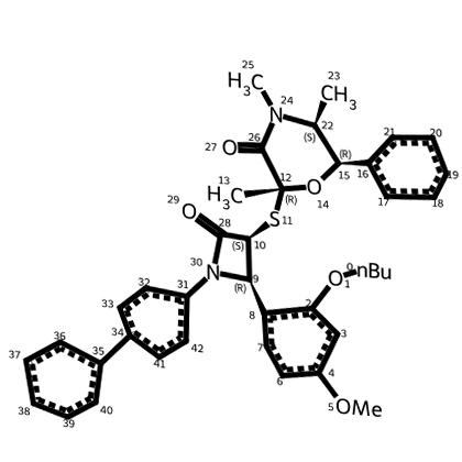 CCCCOc1cc(OC)ccc1[C@@H]1[C@H](S[C@@]2(C)O[C@H](c3ccccc3)[C@H](C)N(C)C2=O)C(=O)N1c1ccc(-c2ccccc2)cc1